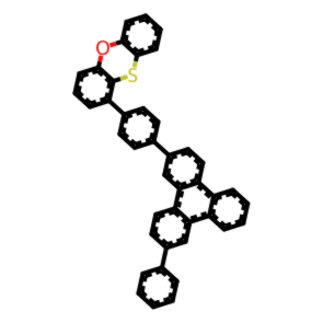 c1ccc(-c2ccc3c(c2)c2ccccc2c2ccc(-c4ccc(-c5cccc6c5Sc5ccccc5O6)cc4)cc23)cc1